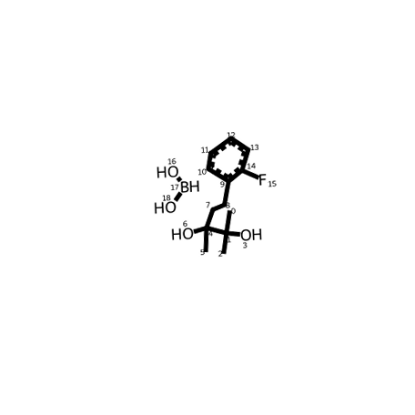 CC(C)(O)C(C)(O)CCc1ccccc1F.OBO